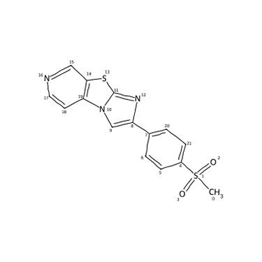 CS(=O)(=O)c1ccc(-c2cn3c(n2)sc2cnccc23)cc1